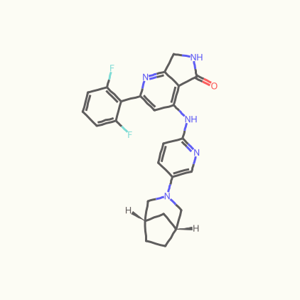 O=C1NCc2nc(-c3c(F)cccc3F)cc(Nc3ccc(N4C[C@@H]5CC[C@@H](C5)C4)cn3)c21